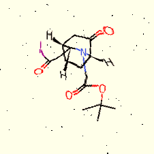 CC(C)(C)OC(=O)N1[C@H](C(=O)I)[C@@H]2CC[C@H]1C(=O)C2